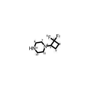 FC1(F)CCC1N1CCNCC1